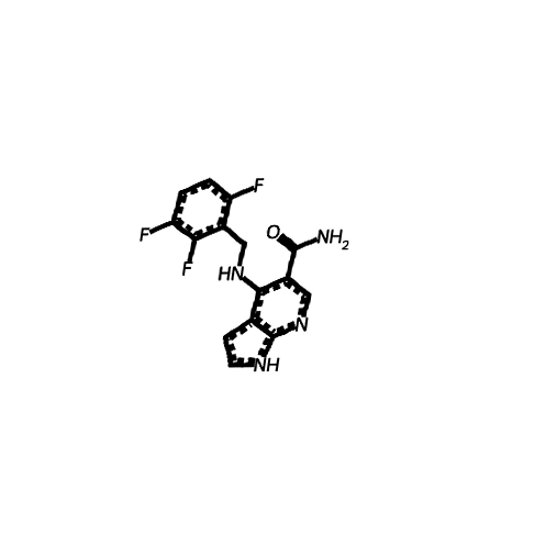 NC(=O)c1cnc2[nH]ccc2c1NCc1c(F)ccc(F)c1F